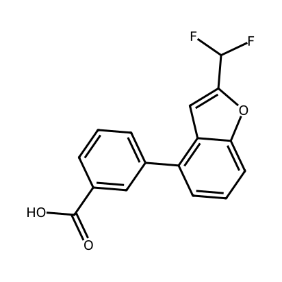 O=C(O)c1cccc(-c2cccc3oc(C(F)F)cc23)c1